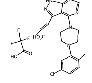 Cc1ccc(Cl)cc1N1CCN(c2ncnc3[nH]nc(/C=C/C(=O)O)c23)CC1.O=C(O)C(F)(F)F